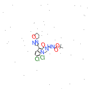 CC(C)(C)OC(=O)NCCN1CCn2c(c(-c3cnn(C4CCCCO4)c3)c3ccc(Cl)c(Cl)c32)C1=O